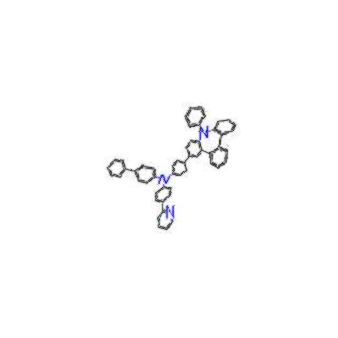 c1ccc(-c2ccc(N(c3ccc(-c4ccc5c(c4)-c4ccccc4-c4ccccc4N5c4ccccc4)cc3)c3ccc(-c4ccccn4)cc3)cc2)cc1